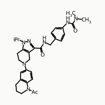 CC(=O)N1CCCc2cc(N3CCc4c(c(C(=O)NCc5ccc(NC(=O)N(C)C)cc5)nn4C(C)C)C3)ccc21